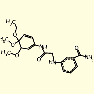 CCOC1(OC)C=CC(NC(=O)CNc2cccc(C(N)=O)c2)=CC1OC